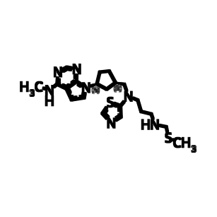 CNc1ncnc2c1ccn2[C@H]1CC[C@@H](CN(CCCNCSC)c2cncs2)C1